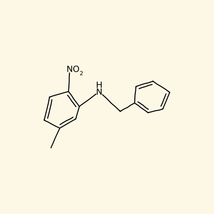 Cc1ccc([N+](=O)[O-])c(NCc2ccccc2)c1